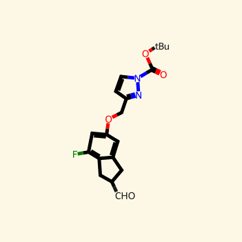 CC(C)(C)OC(=O)n1ccc(COc2cc(F)c3c(c2)CC(C=O)C3)n1